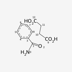 NC(=O)c1ccccc1.O=C(O)CCC(=O)O